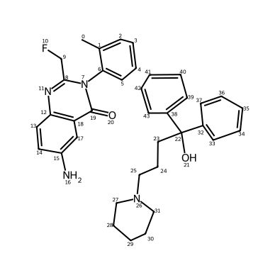 Cc1ccccc1-n1c(CF)nc2ccc(N)cc2c1=O.OC(CCCN1CCCCC1)(c1ccccc1)c1ccccc1